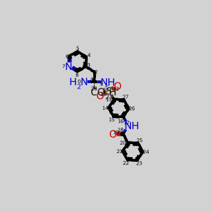 N[C@@](Cc1cccnc1)(NS(=O)(=O)c1ccc(NC(=O)c2ccccc2)cc1)C(=O)O